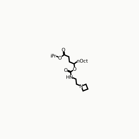 [CH2]C([CH2])OC(=O)CCC(CCCCCCCC)OC(=O)NCCN1CCC1